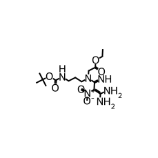 CCOC(=O)CN(CCCNC(=O)OC(C)(C)C)C(=N)C(=C(N)N)[N+](=O)[O-]